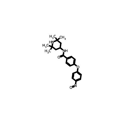 CC1(C)CC(NC(=O)c2ccc(Oc3ccc(N=O)cc3)cc2)CC(C)(C)N1